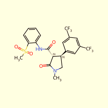 CN1C[C@H](c2cc(C(F)(F)F)cc(C(F)(F)F)c2)[C@@H](C(=O)Nc2ccccc2S(C)(=O)=O)C1=O